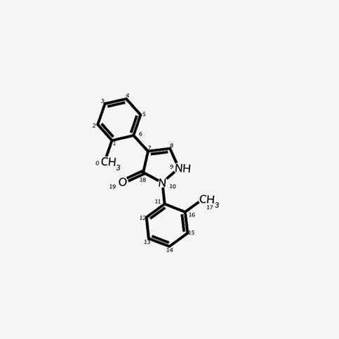 Cc1ccccc1-c1c[nH]n(-c2ccccc2C)c1=O